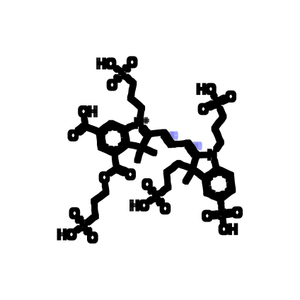 CC1(C)C(/C=C/C=C2/N(CCCS(=O)(=O)O)c3ccc(S(=O)(=O)O)cc3C2(C)CCCS(=O)(=O)O)=[N+](CCCS(=O)(=O)O)c2cc(C(=O)O)cc(C(=O)OCCCS(=O)(=O)O)c21